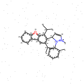 Cc1ccccc1[N+]1=[N+](C)C=CC1c1c(C(C)C)cc2c(oc3ccccc32)c1C(C)C